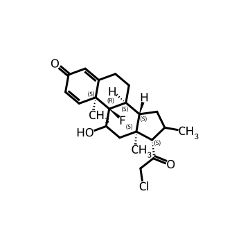 CC1C[C@H]2[C@@H]3CCC4=CC(=O)C=C[C@]4(C)[C@@]3(F)C(O)C[C@]2(C)[C@H]1C(=O)CCl